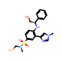 CN(CP)S(=O)(=O)c1ccc(N[C@@H](CO)c2ccccc2)c(-c2cn(C)cn2)c1